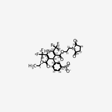 CCOC(=O)C1=C(C(F)(F)F)NC(C(F)(F)F)=C(C(=O)OCCN2C(=O)CCC2=O)C1c1cccc([N+](=O)[O-])c1